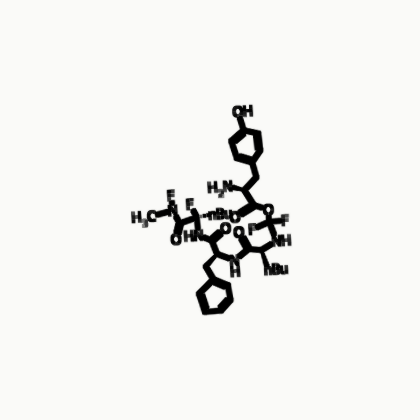 CCCC[C@H](NC(F)(F)OC(=O)[C@@H](N)Cc1ccc(O)cc1)C(=O)N[C@@H](Cc1ccccc1)C(=O)N[C@@](F)(CCCC)C(=O)N(C)F